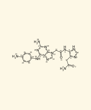 NC(=O)Cc1nc[nH]c1NC(=O)Cn1cnc2c(Nc3ccc(N)cc3)nc(N)nc21